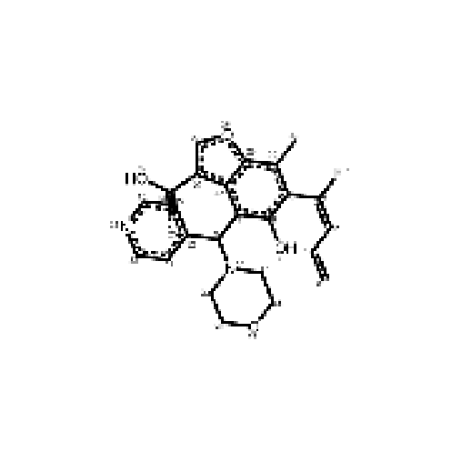 C=C/C=C(/F)c1c(O)c(C(c2ccncc2)N2CCOCC2)c2c(C(=O)O)coc2c1C